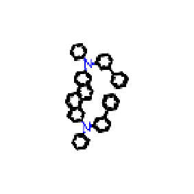 c1ccc(-c2cccc(N(c3ccccc3)c3ccc4c(ccc5c6cc(N(c7ccccc7)c7cccc(-c8ccccc8)c7)ccc6ccc45)c3)c2)cc1